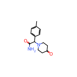 Cc1ccc(C(C(N)=O)N2CCC(=O)CC2)cc1